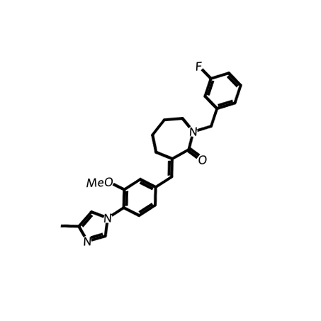 COc1cc(/C=C2\CCCCN(Cc3cccc(F)c3)C2=O)ccc1-n1cnc(C)c1